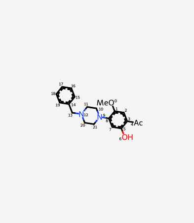 COc1cc(C(C)=O)c(O)cc1N1CCN(Cc2ccccc2)CC1